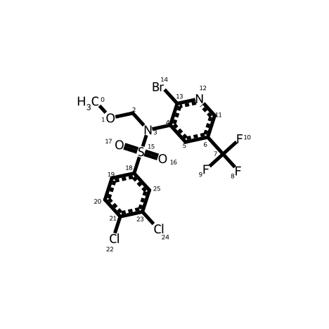 COCN(c1cc(C(F)(F)F)cnc1Br)S(=O)(=O)c1ccc(Cl)c(Cl)c1